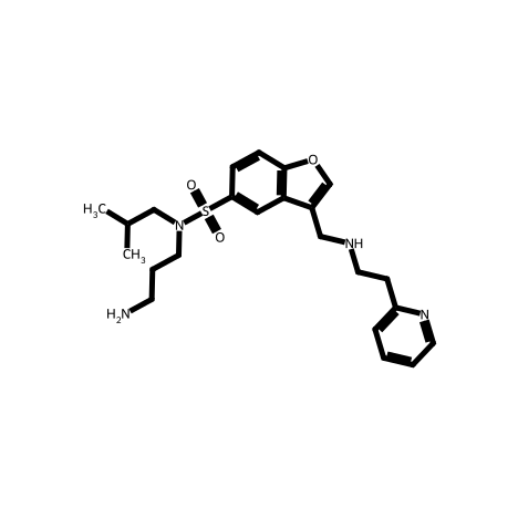 CC(C)CN(CCCN)S(=O)(=O)c1ccc2occ(CNCCc3ccccn3)c2c1